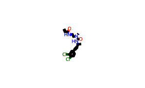 C=CC(=O)NCCN(C)C(=O)NC(C)C#Cc1ccc(Cl)c(Cl)c1